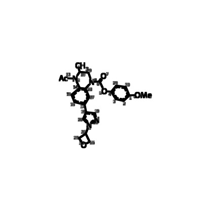 COc1ccc(OC(=O)N2CC(C)N(C(C)=O)c3ccc(-c4cnn(C5COC5)c4)cc32)cc1